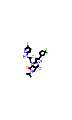 CC(C)N1Cc2c(n(CC(=O)Nc3ccc(F)cn3)c3cc(C4=CCC(F)(F)C4)nn3c2=O)C1=O